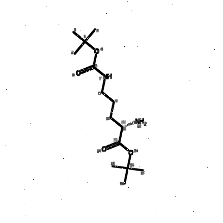 CC(C)(C)OC(=O)NCCC[C@H](N)C(=O)OC(C)(C)C